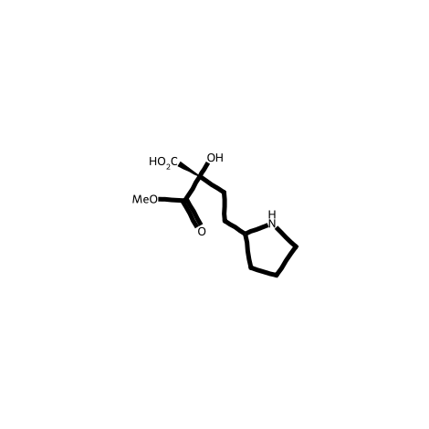 COC(=O)[C@](O)(CCC1CCCN1)C(=O)O